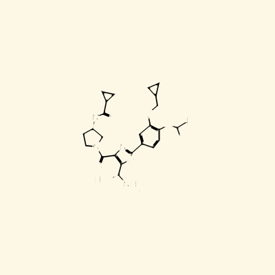 C[C@H](N)c1oc(-c2ccc(OC(F)F)c(OCC3CC3)c2)nc1C(=O)N1CC[C@@H](NC(=O)C2CC2)C1